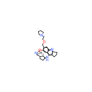 COc1cc2c(N[C@@H]3CCC(C#N)C3)c3c(nc2cc1COCCN1CCCC1)CCC3